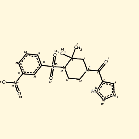 CC1(C)CN(C(=O)c2cnn[nH]2)CCN1S(=O)(=O)c1cccc([N+](=O)[O-])c1